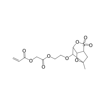 C=CC(=O)OCC(=O)OCCOC1C2OS(=O)(=O)C3CC1(C)OC23